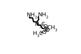 CO[Si](CCCC(CCN)CCCN)(OC)OC